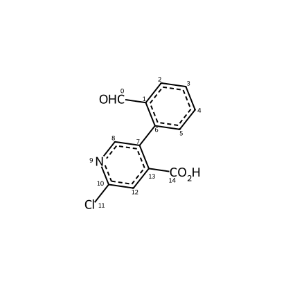 O=Cc1ccccc1-c1cnc(Cl)cc1C(=O)O